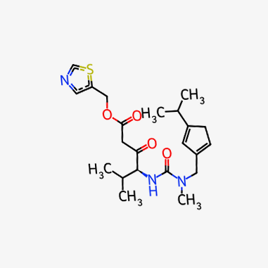 CC(C)C1=CC(CN(C)C(=O)N[C@H](C(=O)CC(=O)OCc2cncs2)C(C)C)=CC1